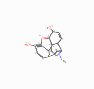 CN1CC[C@]23C4C=CC(O)C2OC2=C(O)C=CC(CC41)C23